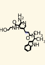 CC(c1cc2ccccc2[nH]1)N(C)C(=O)/C=C/c1cnc(N)c(C(=O)NCCO)c1